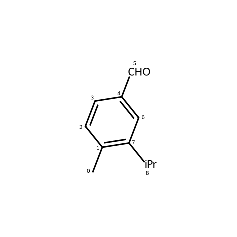 Cc1ccc(C=O)cc1C(C)C